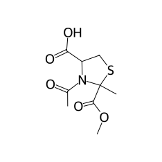 COC(=O)C1(C)SCC(C(=O)O)N1C(C)=O